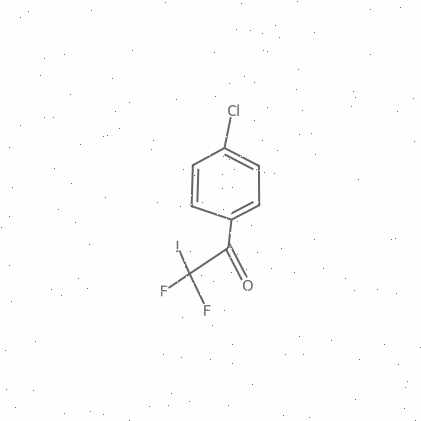 O=C(c1ccc(Cl)cc1)C(F)(F)I